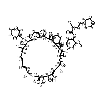 CO[C@@H]1C[C@H](CC2[C@H]3CCCN4C(=O)C(=O)[C@]5(O)O[C@@H](CC[C@H]5C)CC(OCC5COCCO5)/C(C)=C/C=C/C=C/[C@@H](C)C[C@@H](C)C(=O)[C@H](OC)[C@H](O)/C(C)=C/[C@@H](C)C(=O)C[C@@H]2OC(=O)C34)CC[C@H]1OC(=O)N(C)CCN1CCOCC1